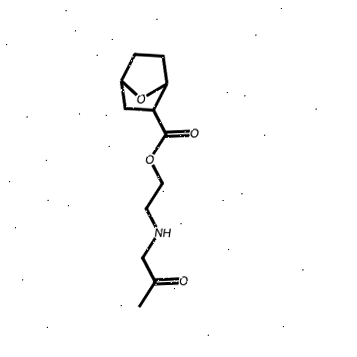 CC(=O)CNCCOC(=O)C1CC2CCC1O2